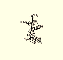 CC(C)[C@H](NC(=O)[C@H](C)NC(=O)[C@H](Cc1c[nH]cn1)NC(=O)[C@H](CCCCN)NC(=O)[C@@H](N)CCC(N)=O)C(=O)N[C@H](C(=O)O)[C@@H](C)O